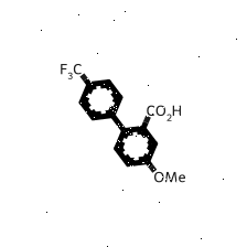 COc1ccc(-c2ccc(C(F)(F)F)cc2)c(C(=O)O)c1